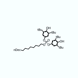 CCCCCCCCCCCCCCCCCCOP(=O)(Oc1cc(C(C)(C)C)c(O)c(C(C)(C)C)c1)Oc1cc(C(C)(C)C)c(O)c(C(C)(C)C)c1